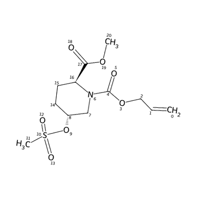 C=CCOC(=O)N1C[C@H](OS(C)(=O)=O)CC[C@H]1C(=O)OC